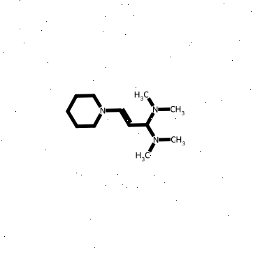 CN(C)C(C=CN1CCCCC1)N(C)C